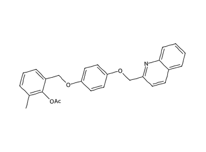 CC(=O)Oc1c(C)cccc1COc1ccc(OCc2ccc3ccccc3n2)cc1